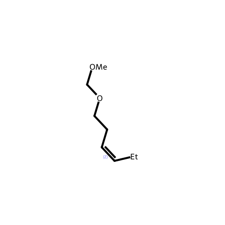 CC/C=C\CCOCOC